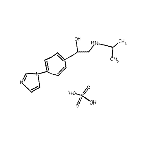 CC(C)NCC(O)c1ccc(-n2ccnc2)cc1.O=S(=O)(O)O